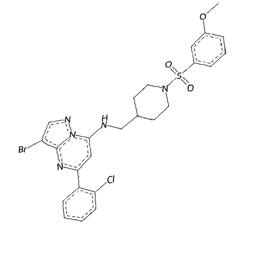 COc1cccc(S(=O)(=O)N2CCC(CNc3cc(-c4ccccc4Cl)nc4c(Br)cnn34)CC2)c1